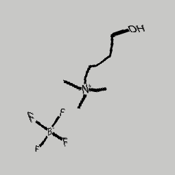 C[N+](C)(C)CCCO.F[B-](F)(F)F